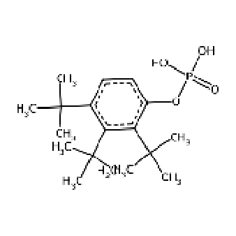 CC(C)(C)c1ccc(OP(=O)(O)O)c(C(C)(C)C)c1C(C)(C)C